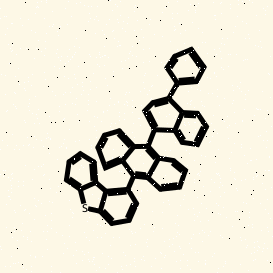 c1ccc(-c2ccc(-c3c4ccccc4c(-c4cccc5sc6ccccc6c45)c4ccccc34)c3ccccc23)cc1